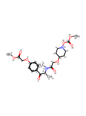 C[C@@H](C(=O)c1ccc(OCC(=O)OC(C)(C)C)cc1)N(C)C(=O)COC1CCN(OC(=O)OC(C)(C)C)CC1